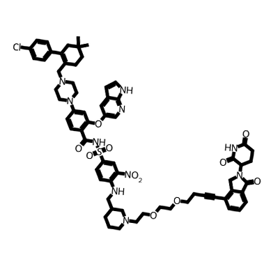 CC1(C)CCC(CN2CCN(c3ccc(C(=O)NS(=O)(=O)c4ccc(NCC5CCCN(CCOCCOCCC#Cc6cccc7c6CN(C6CCC(=O)NC6=O)C7=O)C5)c([N+](=O)[O-])c4)c(Oc4cnc5[nH]ccc5c4)c3)CC2)=C(c2ccc(Cl)cc2)C1